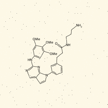 COc1cc(Nc2ncc3ccn(-c4cccc(CCC(=O)NCCCN)c4)c3n2)cc(OC)c1OC